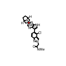 CNC(=O)Cn1cc2c(Cl)c(-c3c[nH]c4nc(N5[C@@H]6CC[C@H]5C[C@@H](N)C6)cnc34)ccc2n1